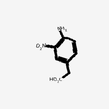 Nc1ccc(CC(=O)O)cc1[N+](=O)[O-]